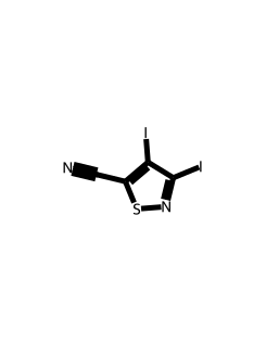 N#Cc1snc(I)c1I